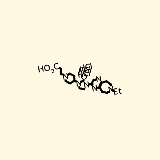 CCN1CCc2ncc(N3CCN(C4CCN(CCC(=O)O)CC4)C3=O)nc2CC1.Cl.Cl.Cl